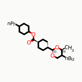 CCCCC1CO[C@H]([C@H]2CC[C@H](C(=O)OC3CCC(CCC)CC3)CC2)O[C@H]1C